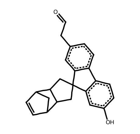 O=CCc1ccc2c(c1)C1(CC3C4C=CC(C4)C3C1)c1cc(O)ccc1-2